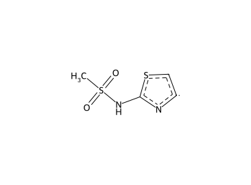 CS(=O)(=O)Nc1n[c]cs1